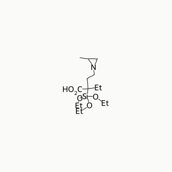 CCO[Si](OCC)(OCC)C(CC)(CCN1CC1C)C(=O)O